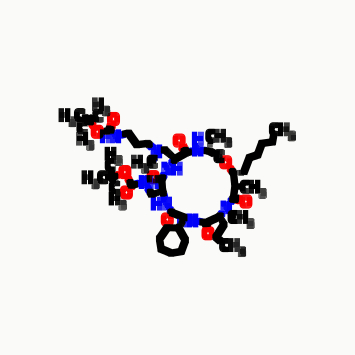 CCCCCC[C@H]1OC[C@@H](C)NC(=O)[C@H](CN(C)CCCNC(=O)OC(C)(C)C)NC(=O)[C@H](CNC(=O)OC(C)(C)C)NC(=O)[C@H](C2CCCCCC2)NC(=O)[C@H](CCC)N(C)C(=O)[C@@H]1C